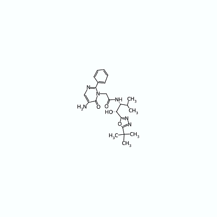 CC(C)[C@@H](NC(=O)Cn1c(-c2ccccc2)ncc(N)c1=O)[C@@H](O)c1nnc(C(C)(C)C)o1